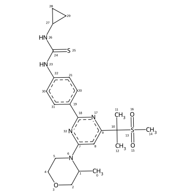 CC1COCCN1c1cc(C(C)(C)S(C)(=O)=O)nc(-c2ccc(NC(=S)NC3CC3)cc2)n1